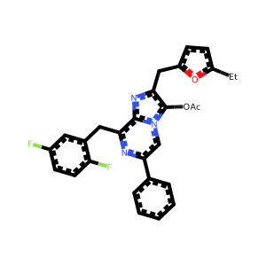 CCc1ccc(Cc2nc3c(Cc4cc(F)ccc4F)nc(-c4ccccc4)cn3c2OC(C)=O)o1